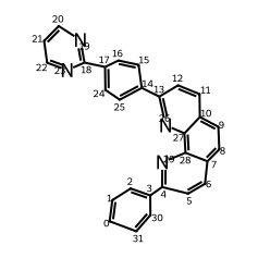 c1ccc(-c2ccc3ccc4ccc(-c5ccc(-c6ncccn6)cc5)nc4c3n2)cc1